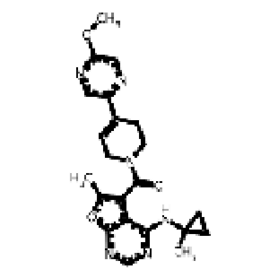 COc1cnc(C2=CCN(C(=O)c3c(C)oc4ncnc(NC5(C)CC5)c34)CC2)cn1